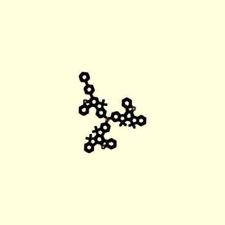 CC1(C)c2cc(N(c3ccc4c(c3)C(C)(C)c3c5c(c6oc7ccccc7c6c3-4)-c3ccccc3C5(C)C)c3ccc4c(c3)C(C)(C)c3c5c(c6oc7ccccc7c6c3-4)-c3ccccc3C5(C)C)ccc2-c2c1cc(-c1ccc(-c3ccccc3)cc1)c1oc3ccccc3c21